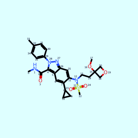 CNC(=O)c1c2cc(C3CC3)c(N(CCC3(OC)COC3)S(C)(=O)=O)cc2nn1-c1ccc(C)cc1